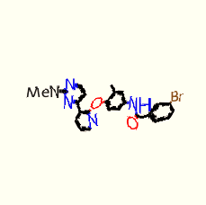 CNc1nccc(-c2cccnc2Oc2ccc(NC(=O)c3cccc(Br)c3)cc2C)n1